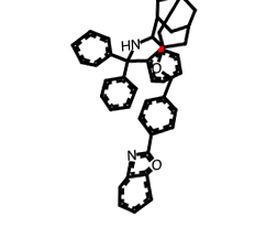 c1ccc(C(NC2C3CC4CC(C3)CC2(OCc2ccc(-c3nc5ccccc5o3)cc2)C4)(c2ccccc2)c2ccccc2)cc1